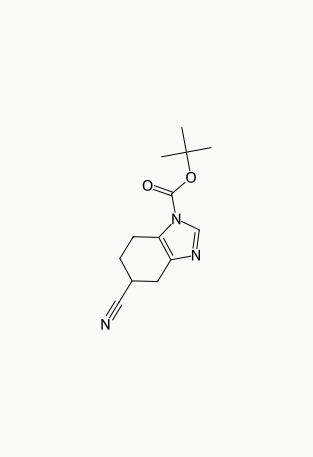 CC(C)(C)OC(=O)n1cnc2c1CCC(C#N)C2